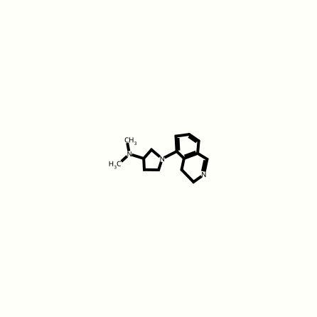 CN(C)C1CCN(c2cccc3c2CCN=C3)C1